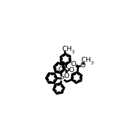 COC(=O)c1cccc(CP(OS(=O)(=O)c2ccc(C)cc2)(c2ccccc2)(c2ccccc2)c2ccccc2)c1